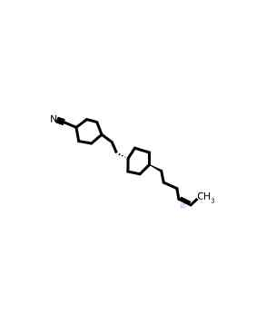 C/C=C\CCC[C@H]1CC[C@H](CCC2CCC(C#N)CC2)CC1